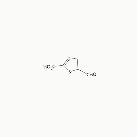 O=CC1CC=C(C(=O)O)S1